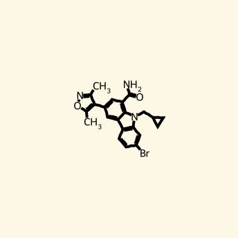 Cc1noc(C)c1-c1cc(C(N)=O)c2c(c1)c1ccc(Br)cc1n2CC1CC1